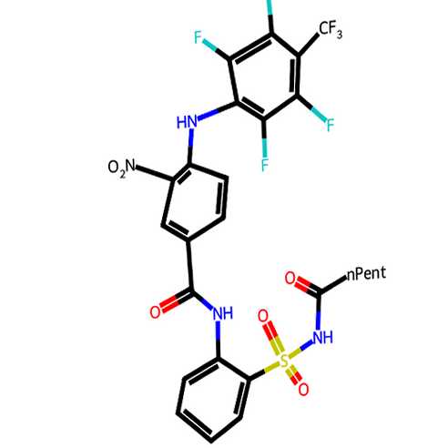 CCCCCC(=O)NS(=O)(=O)c1ccccc1NC(=O)c1ccc(Nc2c(F)c(F)c(C(F)(F)F)c(F)c2F)c([N+](=O)[O-])c1